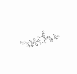 Cc1nnc(S(=O)(=O)N2CCN(OC(=O)C(F)(F)F)C(=O)C2)s1